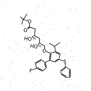 CC(C)c1cc(Sc2ccccc2)cc(-c2ccc(F)cc2)c1OC[C@@H](O)C[C@@H](O)CC(=O)OC(C)(C)C